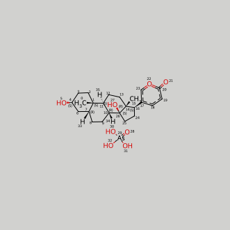 C[C@]12CC[C@H](O)C[C@H]1CC[C@@H]1[C@@H]2CC[C@]2(C)[C@@H](c3ccc(=O)oc3)CC[C@]12O.O=[As](O)(O)O